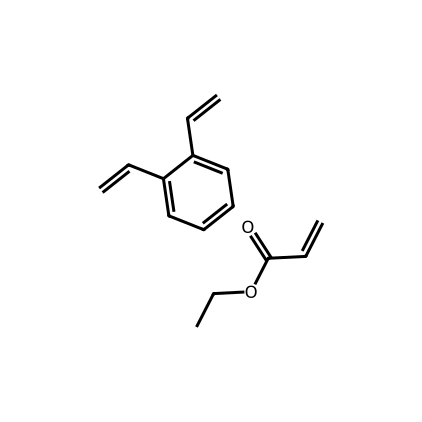 C=CC(=O)OCC.C=Cc1ccccc1C=C